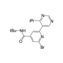 CC(C)c1ncncc1-c1cc(C(=O)NC(C)(C)C)cc(Br)n1